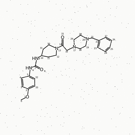 COc1ccc(NC(=O)NC2CCN(C(=O)CN3CCN(Cc4ccccc4)CC3)CC2)cc1